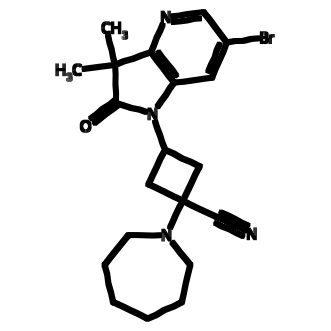 CC1(C)C(=O)N(C2CC(C#N)(N3CCCCCC3)C2)c2cc(Br)cnc21